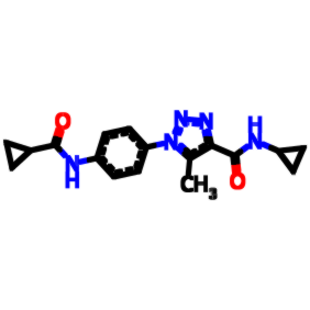 Cc1c(C(=O)NC2CC2)nnn1-c1ccc(NC(=O)C2CC2)cc1